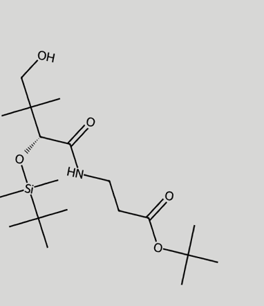 CC(C)(C)OC(=O)CCNC(=O)[C@H](O[Si](C)(C)C(C)(C)C)C(C)(C)CO